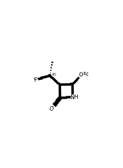 CC(=O)OC1NC(=O)C1[C@@H](C)F